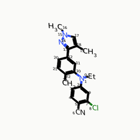 CCN(c1ccc(C#N)c(Cl)c1)c1cc(-c2nn(C)cc2C)ccc1C